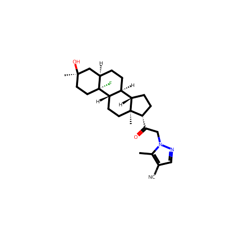 Cc1c(C#N)cnn1CC(=O)[C@H]1CC[C@H]2[C@@H]3CC[C@@H]4C[C@](C)(O)CC[C@]4(F)[C@H]3CC[C@]12C